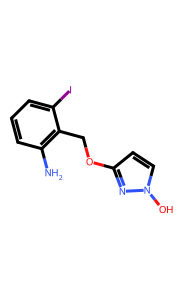 Nc1cccc(I)c1COc1ccn(O)n1